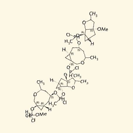 CO[C@@]12CC(C)OC1[C@@]1(O[PH](C)(Cl)O[C@@H]3CC(C)OC[C@@]4(O[PH](C)(Cl)O[C@@]56CC(C)OC5[C@@]5(O[PH](C)(Cl)O[C@@H]7CC(C)OC[C@@]8(O[PH](C)(Cl)OC)C[C@H]8C7)C[C@H]5C6)C[C@H]4C3)C[C@H]1C2